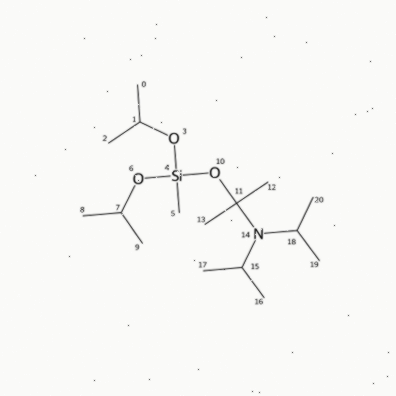 CC(C)O[Si](C)(OC(C)C)OC(C)(C)N(C(C)C)C(C)C